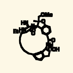 CC[C@]12CCCCCc3ccc4c(c3)[C@@H](NC(=O)c3ccc5c(c3)[C@H](N(C(=N)N1)C(=O)C2)[C@](C)(COC)O5)[C@H](O)C4